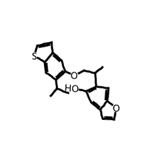 CC(C)c1cc2sccc2cc1OCC(C)c1cc2occc2cc1O